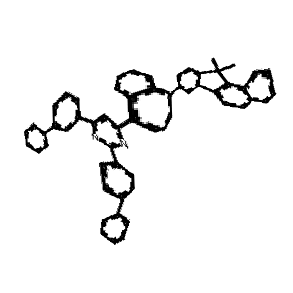 CC1(C)c2ccc(-c3ccc(-c4cc(-c5cccc(-c6ccccc6)c5)nc(-c5ccc(-c6ccccc6)cc5)n4)c4ccccc34)cc2-c2ccc3ccccc3c21